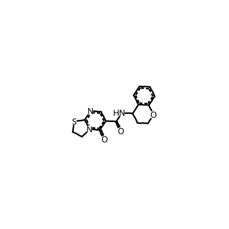 O=C(NC1CCOc2ccccc21)c1cnc2n(c1=O)CCS2